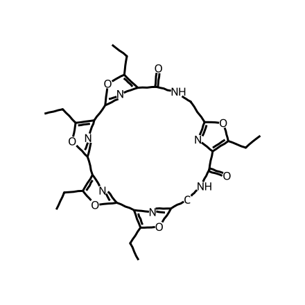 CCc1oc2nc1C(=O)NCc1nc(c(CC)o1)-c1nc(c(CC)o1)-c1nc(c(CC)o1)-c1nc(c(CC)o1)C(=O)NC2